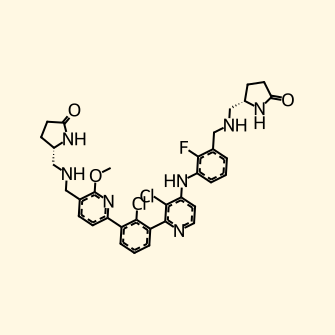 COc1nc(-c2cccc(-c3nccc(Nc4cccc(CNC[C@@H]5CCC(=O)N5)c4F)c3Cl)c2Cl)ccc1CNC[C@@H]1CCC(=O)N1